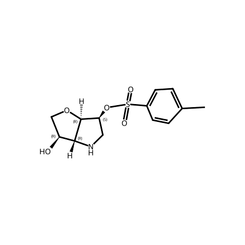 Cc1ccc(S(=O)(=O)O[C@H]2CN[C@H]3[C@H]2OC[C@@H]3O)cc1